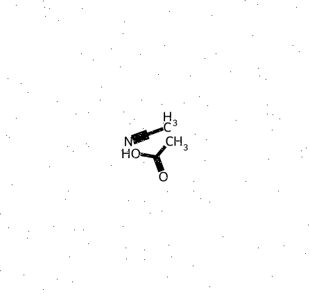 CC#N.CC(=O)O